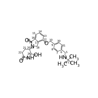 CC(C)(C)NCc1ccc(COc2cccc3c2CN(C2CCC(=O)NC2O)C3=O)cc1